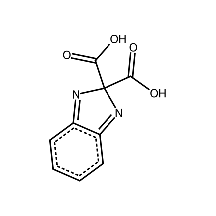 O=C(O)C1(C(=O)O)N=c2ccccc2=N1